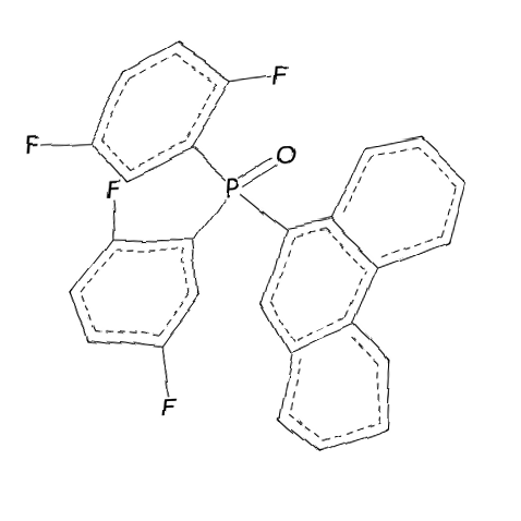 O=P(c1cc(F)ccc1F)(c1cc(F)ccc1F)c1cc2ccccc2c2ccccc12